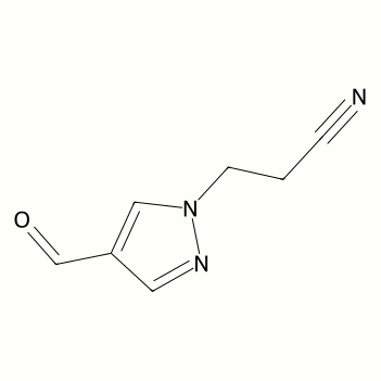 N#CCCn1cc(C=O)cn1